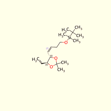 C=C[C@@H]1OC(C)(C)O[C@H]1/C=C\CCO[Si](C)(C)C(C)(C)C